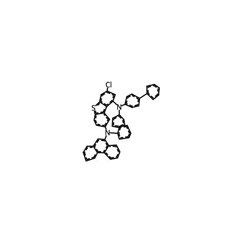 Clc1cc(N(c2ccccc2)c2ccc(-c3ccccc3)cc2)c2c(c1)sc1ccc(N(c3ccccc3)c3cc4ccccc4c4ccccc34)cc12